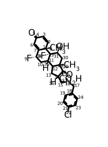 C[C@]12C=CC(=O)C=C1[C@@H](F)C[C@H]1C3C[C@H]4CN(Cc5ccc(Cl)cc5)O[C@@]4(C(=O)O)[C@@]3(C)C[C@H](O)[C@@]12F